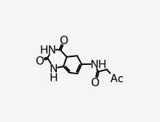 CC(=O)CC(=O)NC1=CC=C2NC(=O)NC(=O)C2C1